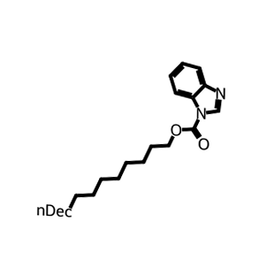 CCCCCCCCCCCCCCCCCCOC(=O)n1cnc2ccccc21